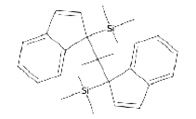 CC(C)(C1([Si](C)(C)C)C=Cc2ccccc21)C1([Si](C)(C)C)C=Cc2ccccc21